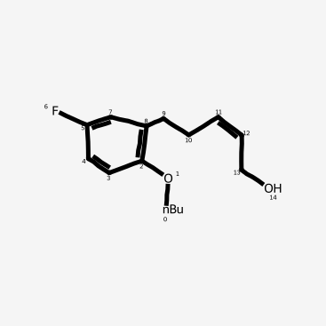 CCCCOc1ccc(F)cc1CC/C=C\CO